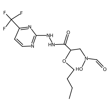 CCCCOC(CN(O)C=O)C(=O)NNc1nccc(C(F)(F)F)n1